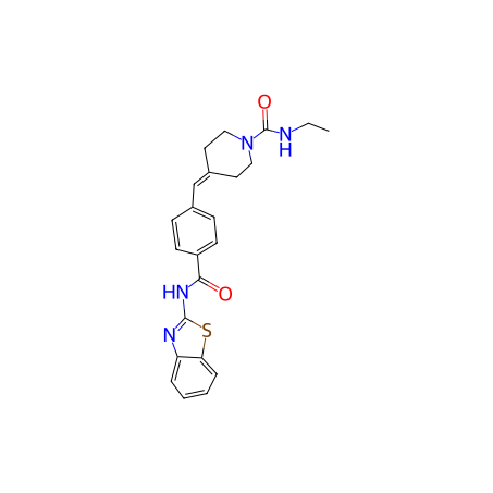 CCNC(=O)N1CCC(=Cc2ccc(C(=O)Nc3nc4ccccc4s3)cc2)CC1